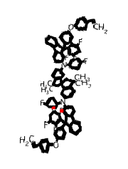 C=Cc1ccc(Oc2ccc(C3(C4=C(F)C(F)CC(F)=C4F)c4ccccc4-c4ccc(N(c5ccc(F)cc5)c5ccc6c(c5)C5(CC6(C)C)CC(C)(C)c6ccc(N(c7ccc(F)cc7)c7ccc8c(c7)C(c7ccc(Oc9ccc(C=C)cc9)cc7)(c7c(F)c(F)cc(F)c7F)c7ccccc7-8)cc65)cc43)cc2)cc1